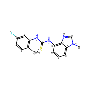 COc1ccc(F)cc1NC(=S)Nc1cccc2c1ncn2C